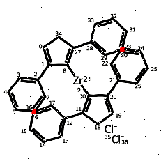 C1=C(c2ccccc2)[C]([Zr+2][C]2=C(c3ccccc3)CC=C2c2ccccc2)=C(c2ccccc2)C1.[Cl-].[Cl-]